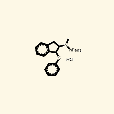 CCCCCN(C)C1Cc2ccccc2C1Sc1ccccc1.Cl